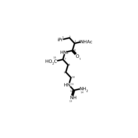 CC(=O)NC(CC(C)C)C(=O)NC(CCCNC(=N)N)C(=O)O